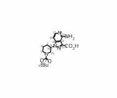 CC(C)(C)OC(=O)N1CCC[C@@H](n2nc(C(=O)O)c3c(N)nccc32)C1